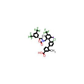 Cc1cc(C(=O)O)ccc1-c1ccc(Cl)c(-c2c(I)cc(C(F)(F)F)cc2CN2C(=O)O[C@H](c3cc(C(F)(F)F)cc(C(F)(F)F)c3)[C@@H]2C)c1